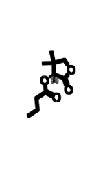 CCCC(=O)O[C@H]1C(=O)OCC1(C)C